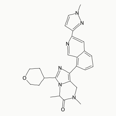 CC1C(=O)N(C)Cc2c(-c3cccc4cc(-c5ccn(C)n5)ncc34)nc(C3CCOCC3)n21